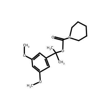 COc1cc(OC)cc(C(C)(C)OC(=O)N2CCCCC2)c1